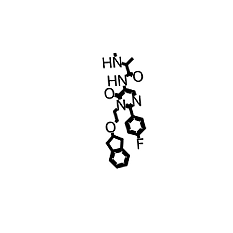 CNC(C)C(=O)Nc1cnc(-c2ccc(F)cc2)n(CCOC2Cc3ccccc3C2)c1=O